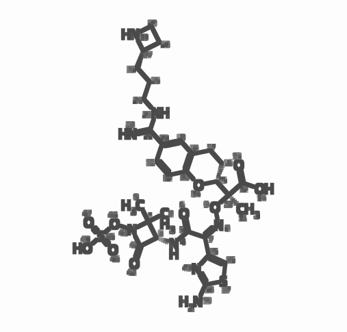 CC1(C)[C@H](NC(=O)/C(=N\O[C@](C)(C(=O)O)[C@H]2CCc3cc(C(=N)NCCC[C@@H]4CCN4)ccc3O2)c2csc(N)n2)C(=O)N1OS(=O)(=O)O